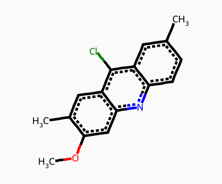 COc1cc2nc3ccc(C)cc3c(Cl)c2cc1C